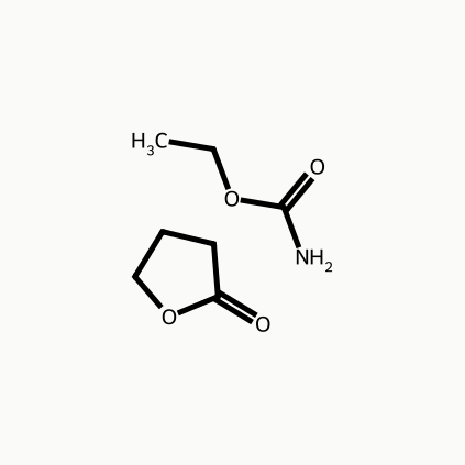 CCOC(N)=O.O=C1CCCO1